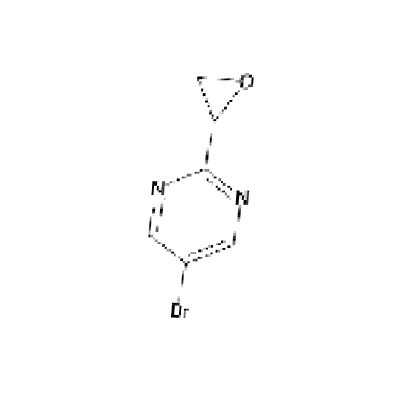 Brc1cnc(C2CO2)nc1